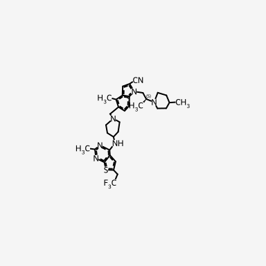 Cc1nc(NC2CCN(Cc3ccc4c(cc(C#N)n4C[C@H](C)N4CCC(C)CC4)c3C)CC2)c2cc(CC(F)(F)F)sc2n1